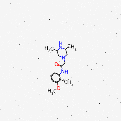 COc1cccc(NC(=O)CN2CC(C)NC(C)C2)c1C